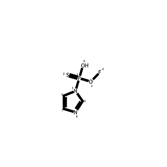 OP(=S)(OF)n1ccnc1